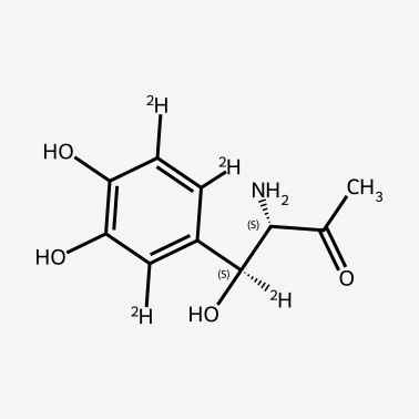 [2H]c1c([2H])c([C@]([2H])(O)[C@H](N)C(C)=O)c([2H])c(O)c1O